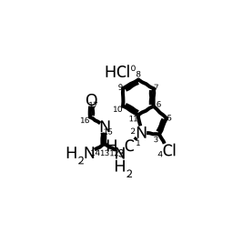 Cl.Cn1c(Cl)cc2ccccc21.NC(N)=NC=O